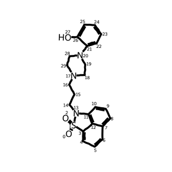 O=S1(=O)c2cccc3cccc(c23)N1CCCN1CCN(c2ccccc2O)CC1